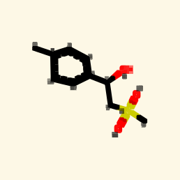 Cc1ccc([C@@H](O)CS(C)(=O)=O)cc1